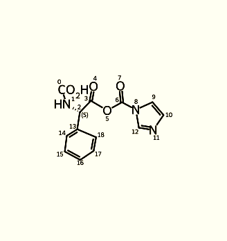 O=C(O)N[C@H](C(=O)OC(=O)n1ccnc1)c1ccccc1